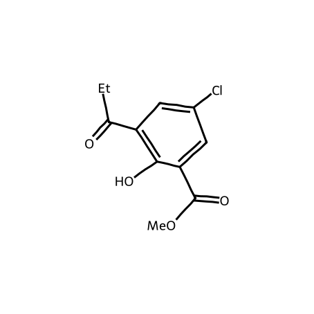 CCC(=O)c1cc(Cl)cc(C(=O)OC)c1O